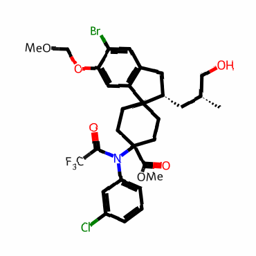 COCOc1cc2c(cc1Br)C[C@H](C[C@@H](C)CO)C21CCC(C(=O)OC)(N(C(=O)C(F)(F)F)c2cccc(Cl)c2)CC1